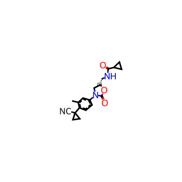 Cc1cc(N2C[C@H](CNC(=O)C3CC3)OC2=O)ccc1C1(C#N)CC1